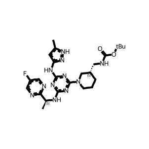 Cc1cc(Nc2nc(N[C@@H](C)c3ncc(F)cn3)nc(N3CCC[C@@H](CNC(=O)OC(C)(C)C)C3)n2)n[nH]1